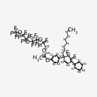 CCCCCCCCC1(c2ccc(O[C@@H](C)COCC(F)(F)OC(F)(F)C(F)(F)OC(F)(F)C(F)(F)OC(F)(F)F)cc2)C=CC(c2ccccc2)=C(F)C1F